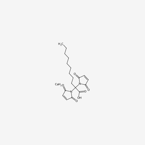 CCCCCCCCCC(C(=O)O)(N1C(=O)C=CC1=O)N1C(=O)C=CC1=O.[CaH2]